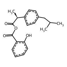 CC(C)Cc1ccc([C@H](C)C(=O)OC(=O)c2ccccc2O)cc1